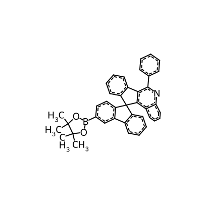 CC1(C)OB(c2ccc3c(c2)-c2ccccc2C32c3ccccc3-c3c(-c4ccccc4)nc4ccccc4c32)OC1(C)C